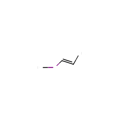 CCCC/C=C/[P]CCCC